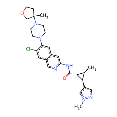 C[C@@H]1[C@@H](C(=O)Nc2cc3cc(N4CCN([C@@]5(C)CCOC5)CC4)c(Cl)cc3cn2)[C@@H]1c1cnn(C)c1